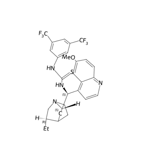 CC[C@H]1CN2CCC1C[C@H]2[C@@H](NC(=S)Nc1cc(C(F)(F)F)cc(C(F)(F)F)c1)c1ccnc2ccc(OC)cc12